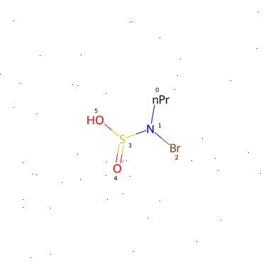 CCCN(Br)S(=O)O